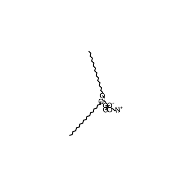 CCCCCCCCCCCCCCCCCCOC[C@H](COP(=O)([O-])OCC[N+](C)(C)C)OCCCCCCCCCCCCCCCCCC